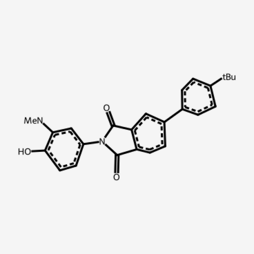 CNc1cc(N2C(=O)c3ccc(-c4ccc(C(C)(C)C)cc4)cc3C2=O)ccc1O